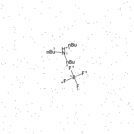 CCCC[NH+](CCCC)CCCC.F[B-](F)(F)F